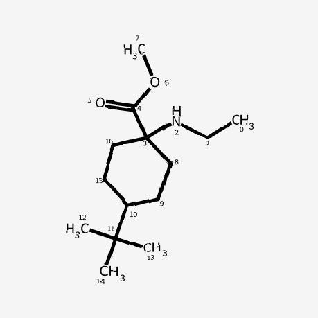 CCNC1(C(=O)OC)CCC(C(C)(C)C)CC1